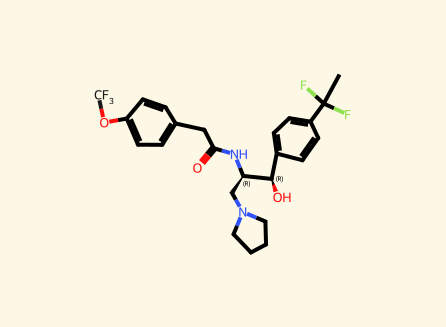 CC(F)(F)c1ccc([C@@H](O)[C@@H](CN2CCCC2)NC(=O)Cc2ccc(OC(F)(F)F)cc2)cc1